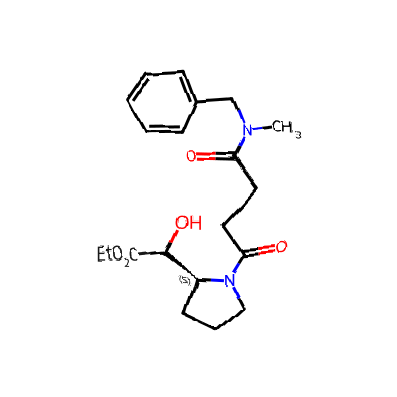 CCOC(=O)C(O)[C@@H]1CCCN1C(=O)CCC(=O)N(C)Cc1ccccc1